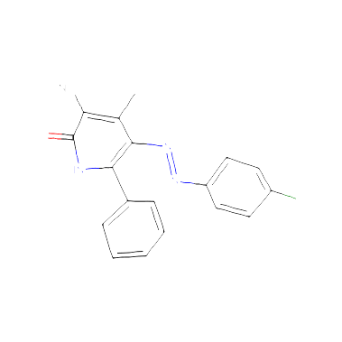 Cc1c(N=Nc2ccc(F)cc2)c(-c2ccccc2)[nH]c(=O)c1C#N